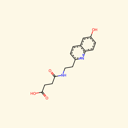 O=C(O)CCC(=O)NCCc1ccc2cc(O)ccc2n1